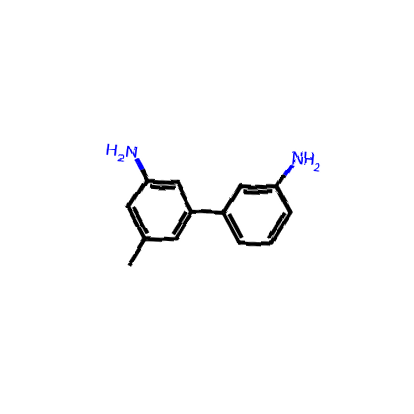 Cc1cc(N)cc(-c2cccc(N)c2)c1